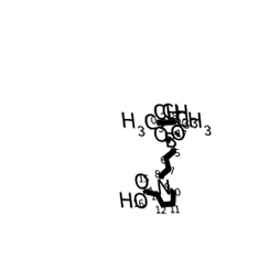 CC1(C)OB(CCCCN2CCCC2C(=O)O)OC1(C)C